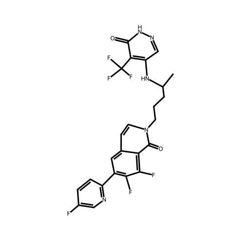 CC(CCCn1ccc2cc(-c3ccc(F)cn3)c(F)c(F)c2c1=O)Nc1cn[nH]c(=O)c1C(F)(F)F